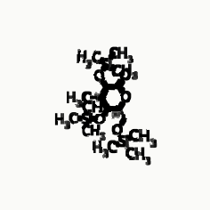 C[C@@H]1C(O[Si](C)(C)C)C(=O)O[C@H](CO[Si](C)(C)C)C1O[Si](C)(C)C